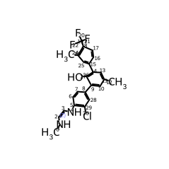 CN/C=C\Nc1ccc(-c2cc(C)cc(-c3ccc(C(F)(F)F)c(C)c3)c2O)cc1Cl